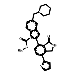 CC(C)(C)OC(=O)n1c(-c2ccc(-c3cccs3)c3c2C(=O)NC3)cc2cc(CN3CCCCC3)ccc21